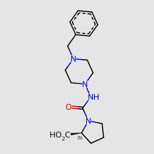 O=C(O)[C@@H]1CCCN1C(=O)NN1CCN(Cc2ccccc2)CC1